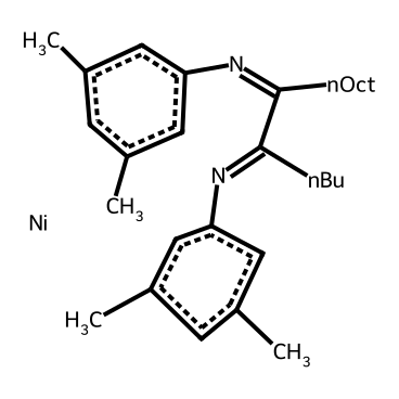 CCCCCCCCC(=Nc1cc(C)cc(C)c1)C(CCCC)=Nc1cc(C)cc(C)c1.[Ni]